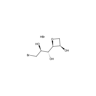 Br.O[C@@H]([C@H]1OC[C@H]1O)[C@H](O)CBr